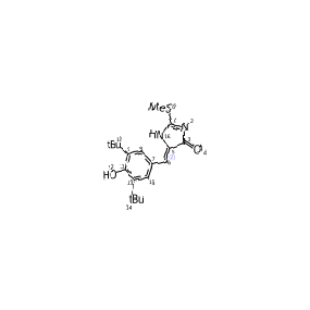 CSC1=NC(=O)/C(=C/c2cc(C(C)(C)C)c(O)c(C(C)(C)C)c2)N1